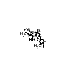 CCc1cc(C[C@@]2(C(=O)O)CCN[C@H](C)C2)nc(Nc2cc(C)n(C(C)(C)C)n2)c1F